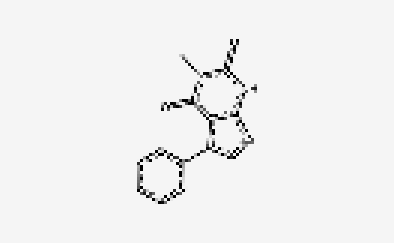 Cn1c(=O)[nH]c2scc(-c3ccccc3)c2c1=O